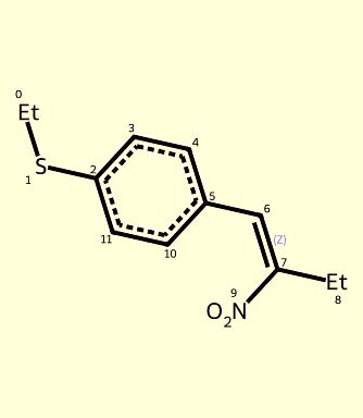 CCSc1ccc(/C=C(/CC)[N+](=O)[O-])cc1